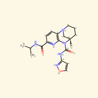 CC(NC(=O)c1ccc2c(n1)N(C(=O)Nc1ccon1)[C@H]1CCCN2C1)C(F)(F)F